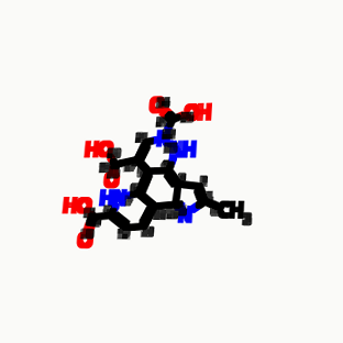 Cc1cc2c3c(c4[nH]c(C(=O)O)ccc4c2n1)C(C(=O)O)=CN(C(=O)O)N3